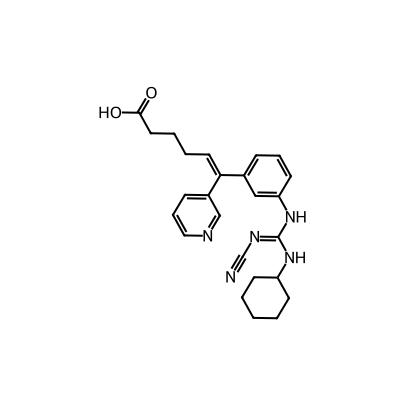 N#CN=C(Nc1cccc(C(=CCCCC(=O)O)c2cccnc2)c1)NC1CCCCC1